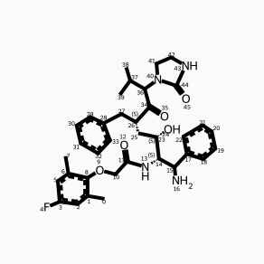 Cc1cc(F)cc(C)c1OCC(=O)N[C@@H](C(N)c1ccccc1)[C@@H](O)C[C@H](Cc1ccccc1)C(=O)C(C(C)C)N1CCNC1=O